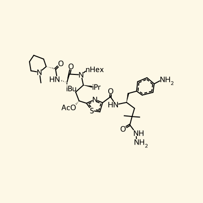 CCCCCCN(C(=O)[C@@H](NC(=O)[C@H]1CCCCN1C)[C@@H](C)CC)[C@H](C[C@@H](OC(C)=O)c1nc(C(=O)N[C@@H](Cc2ccc(N)cc2)CC(C)(C)C(=O)NN)cs1)C(C)C